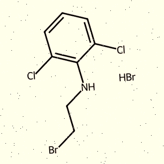 Br.Clc1cccc(Cl)c1NCCBr